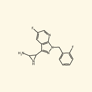 NC1NC1c1nn(Cc2ccccc2F)c2ncc(F)cc12